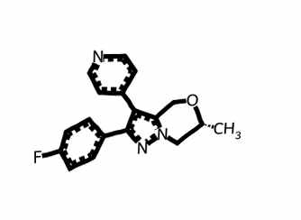 C[C@@H]1Cn2nc(-c3ccc(F)cc3)c(-c3ccncc3)c2CO1